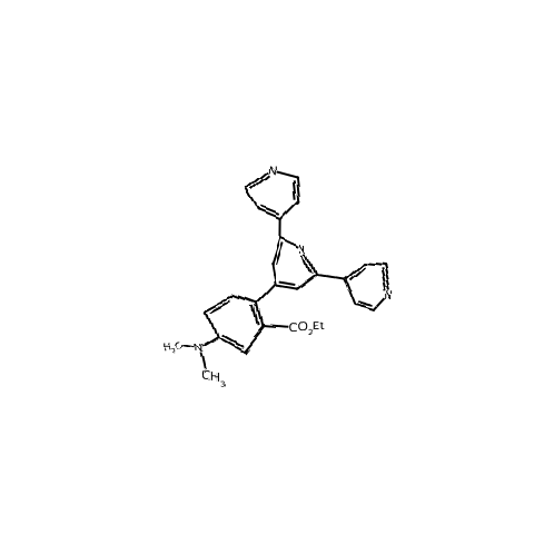 CCOC(=O)c1cc(N(C)C)ccc1-c1cc(-c2ccncc2)nc(-c2ccncc2)c1